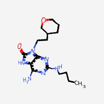 CCCCNc1nc(N)c2[nH]c(=O)n(CCC3CCCOC3)c2n1